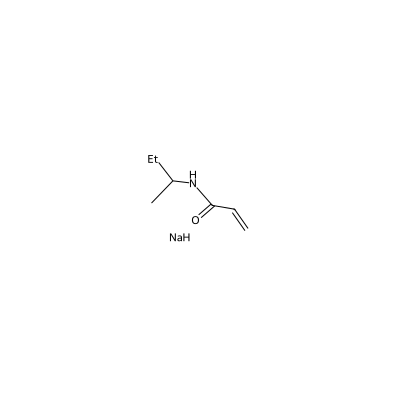 C=CC(=O)NC(C)CC.[NaH]